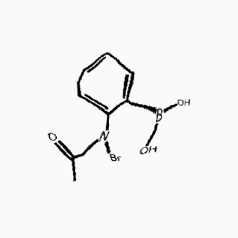 CC(=O)N(Br)c1ccccc1B(O)O